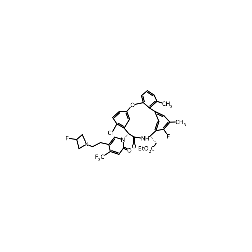 CCOC(=O)C[C@@H]1NC(=O)[C@H](n2cc(CCN3CC(F)C3)c(C(F)(F)F)cc2=O)c2cc(ccc2Cl)Oc2cccc(C)c2-c2cc(C)c(F)c1c2